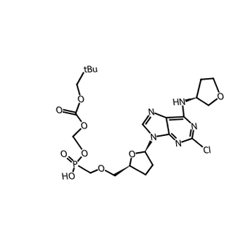 CC(C)(C)COC(=O)OCOP(=O)(O)COC[C@@H]1CC[C@H](n2cnc3c(N[C@H]4CCOC4)nc(Cl)nc32)O1